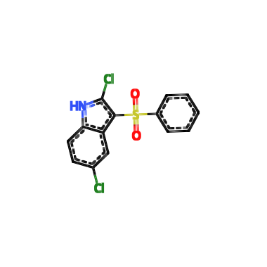 O=S(=O)(c1ccccc1)c1c(Cl)[nH]c2ccc(Cl)cc12